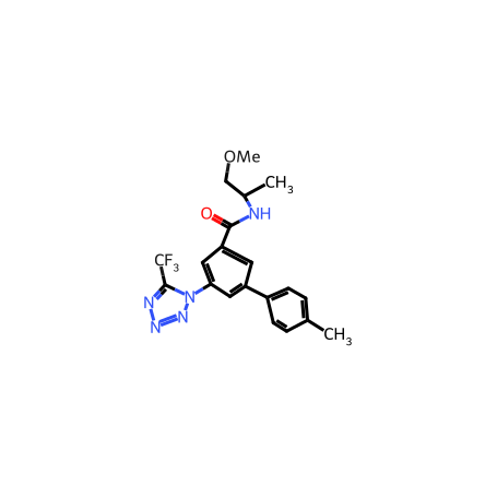 COCC(C)NC(=O)c1cc(-c2ccc(C)cc2)cc(-n2nnnc2C(F)(F)F)c1